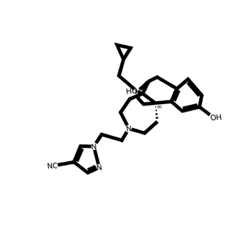 N#Cc1cnn(CCN2CCC3(O)C4Cc5ccc(O)cc5[C@@]3(CC2)CCN4CC2CC2)c1